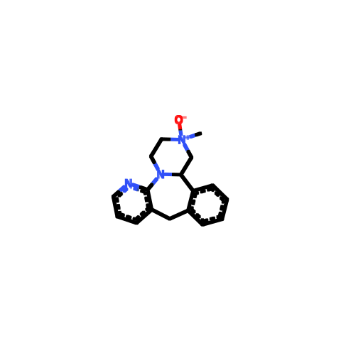 C[N+]1([O-])CCN2c3ncccc3Cc3ccccc3C2C1